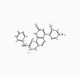 C[C@@H](Oc1ccc2c(-c3ccc(F)cc3Cl)cc(=O)oc2c1)C(=O)Nc1ccncc1